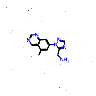 Cc1cc(-n2ncnc2CN)cc2ncncc12